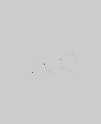 O=C1NC(=O)/C(=C\c2cc(C(F)(F)F)ccc2F)S1